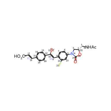 CC(=O)NC[C@H]1CN(c2ccc(/C=C(\Br)c3ccc(/C=C/C(=O)O)cc3)c(F)c2)C(=O)O1